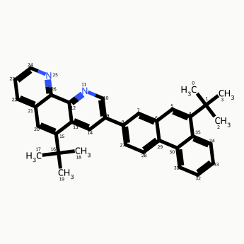 CC(C)(C)c1cc2cc(-c3cnc4c(c3)c(C(C)(C)C)cc3cccnc34)ccc2c2ccccc12